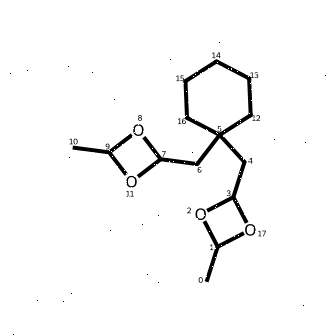 CC1OC(CC2(CC3OC(C)O3)CCCCC2)O1